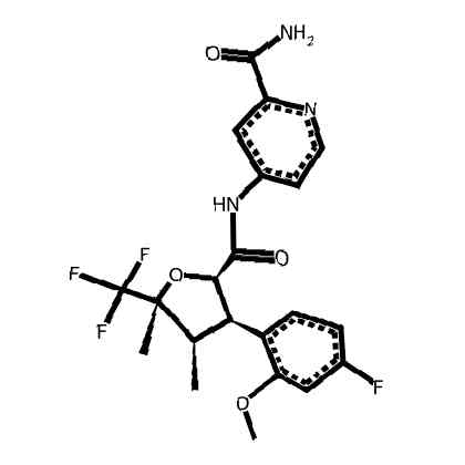 COc1cc(F)ccc1[C@H]1[C@@H](C)[C@](C)(C(F)(F)F)O[C@H]1C(=O)Nc1ccnc(C(N)=O)c1